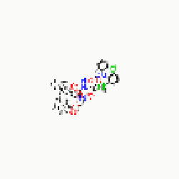 C[C@@H](OC(=O)Cc1ccccc1Nc1c(Cl)cccc1Cl)[C@H](NC(=O)OC(C)(C)C)C(=O)NCC1COC(C)(C)O1